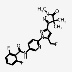 CN1N=C(c2cc(CF)n(-c3ccc(NC(=O)c4c(F)cccc4F)cn3)n2)C(C)(C)C1=O